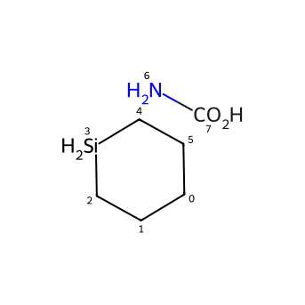 C1CC[SiH2]CC1.NC(=O)O